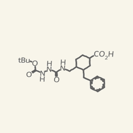 CC(C)(C)OC(=O)NNC(=O)NCC1CCC(C(=O)O)CC1Cc1ccccc1